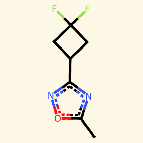 Cc1nc(C2CC(F)(F)C2)no1